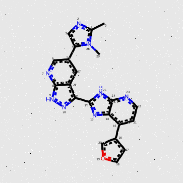 Cc1ncc(-c2cnc3[nH]nc(-c4nc5c(-c6ccoc6)ccnc5[nH]4)c3c2)n1C